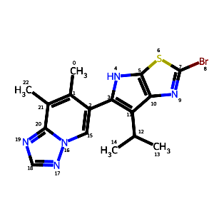 Cc1c(-c2[nH]c3sc(Br)nc3c2C(C)C)cn2ncnc2c1C